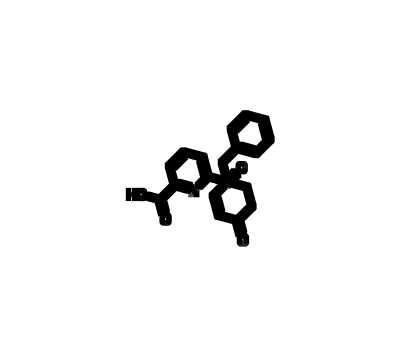 O=C1C=CS(=O)(Cc2ccccc2)(c2cccc(C(=O)O)n2)CC1